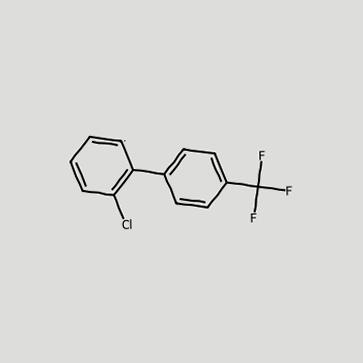 FC(F)(F)c1ccc(-c2[c]cccc2Cl)cc1